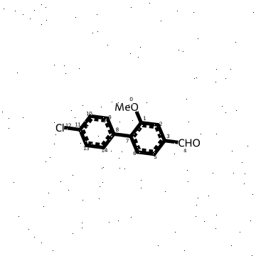 COc1cc(C=O)ccc1-c1ccc(Cl)cc1